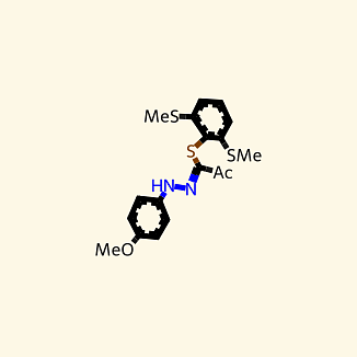 COc1ccc(NN=C(Sc2c(SC)cccc2SC)C(C)=O)cc1